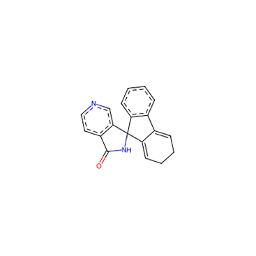 O=C1NC2(C3=CCCC=C3c3ccccc32)c2cnccc21